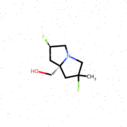 CC1(F)CN2C[C@H](F)C[C@]2(CO)C1